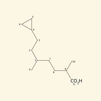 CC(CCC1CC1)CCC(C)C(=O)O